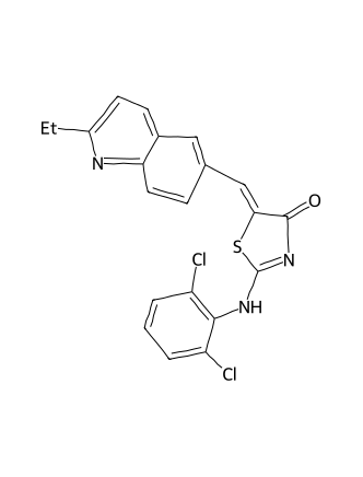 CCc1ccc2cc(/C=C3\SC(Nc4c(Cl)cccc4Cl)=NC3=O)ccc2n1